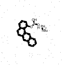 CCCCP.OB(O)Oc1cccc2ccc3cc4ccccc4cc3c12